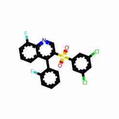 O=S(=O)(c1cc(Cl)cc(Cl)c1)c1cnc2c(F)cccc2c1-c1ccccc1F